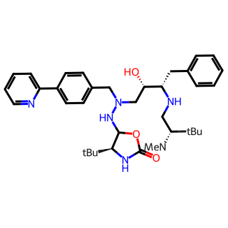 CN[C@H](CN[C@@H](Cc1ccccc1)[C@@H](O)CN(Cc1ccc(-c2ccccn2)cc1)NC1OC(=O)N[C@H]1C(C)(C)C)C(C)(C)C